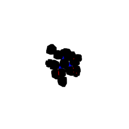 CC(C)(C)c1ccc(N2c3ccc(-c4ccccc4)cc3B3c4ccc(C(C)(C)C)cc4N(c4ccc(C(C)(C)C)cc4-c4ccccc4)c4cc(N5c6ccc(-c7ccccc7)cc6C6(C)CCc7ccccc7C56C)cc2c43)c(-c2ccccc2)c1